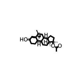 CC(=O)O[C@]1(C)CC[C@H]2[C@@H]3C[C@H](C)C4=C[C@@H](O)CC[C@]4(C=O)[C@H]3CC[C@@]21C